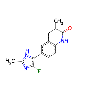 Cc1nc(F)c(-c2ccc3c(c2)CC(C)C(=O)N3)[nH]1